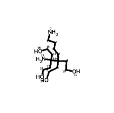 NCCCCC(CCO)(CCO)C(N)(CCO)CCO